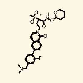 CN(C)Cc1ccc(-c2ccc3c(=O)n(CC[C@](C)(C(=O)NOC4CCCCO4)S(C)(=O)=O)ccc3c2)c(F)c1